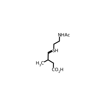 CC(=O)NCC[SH]=CC(C)CC(=O)O